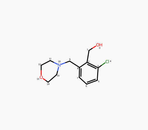 OCc1c(Cl)cccc1CN1CCOCC1